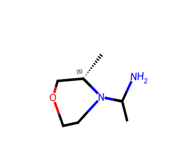 CC(N)N1CCOC[C@@H]1C